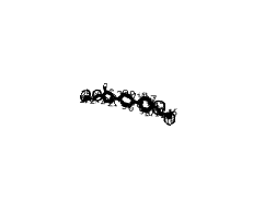 Cc1cc(C2C=CC(c3ccc(OCC4CO4)cc3)C=C2)ccc1OCC1CO1